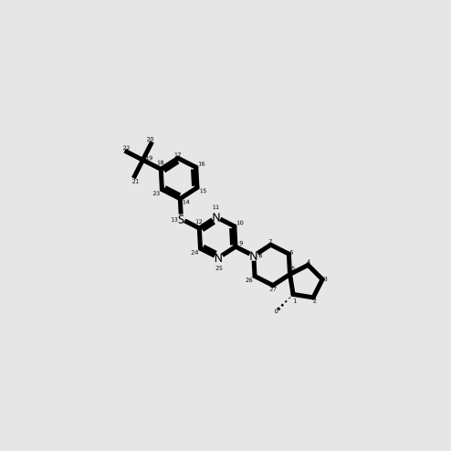 C[C@H]1CCCC12CCN(c1cnc(Sc3cccc(C(C)(C)C)c3)cn1)CC2